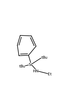 CCN[Si](c1ccccc1)(C(C)(C)C)C(C)(C)C